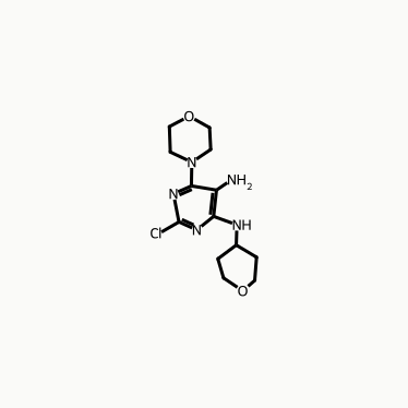 Nc1c(NC2CCOCC2)nc(Cl)nc1N1CCOCC1